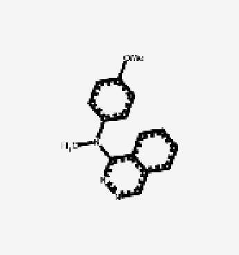 COc1ccc(N(C)c2nncc3ccccc23)cc1